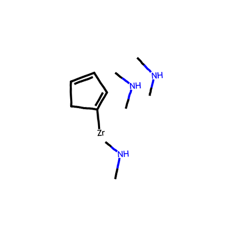 CNC.CNC.CNC.[Zr][C]1=CC=CC1